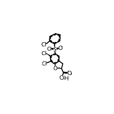 O=C(O)C1Cc2cc(S(=O)(=O)c3ccccc3Cl)c(Cl)c(Cl)c2O1